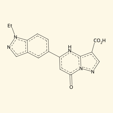 CCn1ncc2cc(-c3cc(=O)n4ncc(C(=O)O)c4[nH]3)ccc21